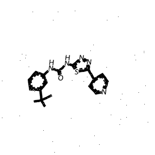 CC(C)(C)c1cccc(NC(=O)Nc2nnc(-c3ccncc3)s2)c1